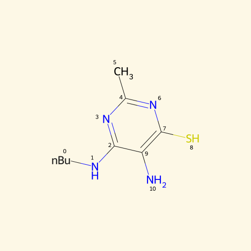 CCCCNc1nc(C)nc(S)c1N